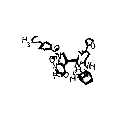 CCOC(=O)[C@@H]1C2CCC(CC2)[C@H]1Nc1cc(-c2ccco2)nc(-c2cn(S(=O)(=O)c3ccc(C)cc3)c3nc(F)ccc23)n1